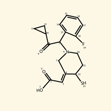 O=C(O)C=C1CN(C(C(=O)C2CC2)c2ccccc2F)CCC1S